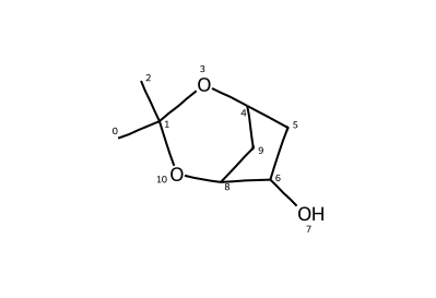 CC1(C)OC2CC(O)C(C2)O1